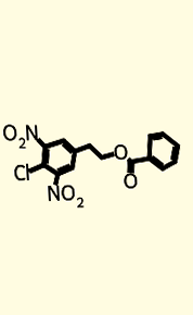 O=C(OCCc1cc([N+](=O)[O-])c(Cl)c([N+](=O)[O-])c1)c1ccccc1